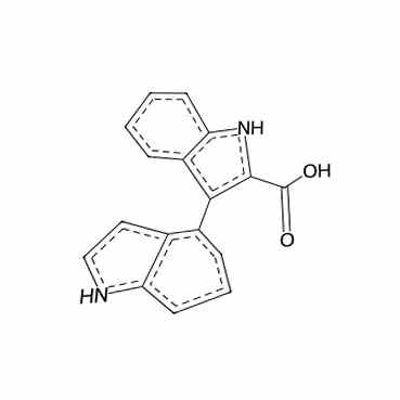 O=C(O)c1[nH]c2ccccc2c1-c1cccc2[nH]ccc12